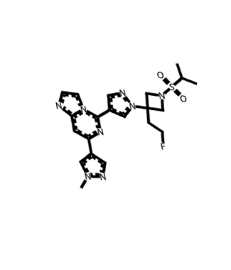 CC(C)S(=O)(=O)N1CC(CCF)(n2cc(-c3nc(-c4cnn(C)c4)cc4nccn34)cn2)C1